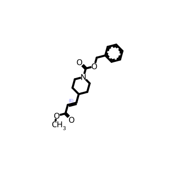 COC(=O)/C=C/C1CCN(C(=O)OCc2ccccc2)CC1